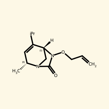 C=CCON1C(=O)N2C[C@@H]1C(C(C)C)=C[C@H]2C